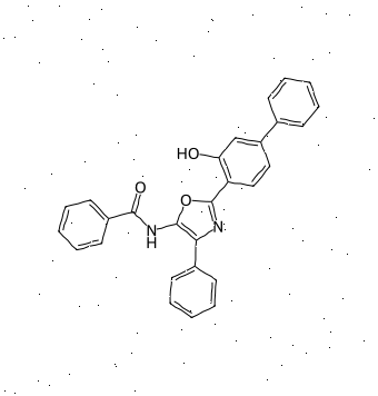 O=C(Nc1oc(-c2ccc(-c3ccccc3)cc2O)nc1-c1ccccc1)c1ccccc1